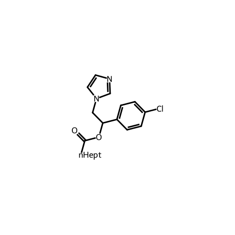 CCCCCCCC(=O)OC(Cn1ccnc1)c1ccc(Cl)cc1